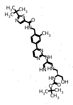 Cc1cc(-c2ccnc(N/C(C=N)=C/NC[C@@H](CO)NC(=O)OC(C)(C)C)n2)ccc1CNC(=O)c1cnc(C(C)(C)C)s1